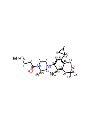 COCCC(=O)N1CCN(c2cc(C3(C)CC3)c3c(c2C#N)CC(C)(C)OC3)CC1C(C)C